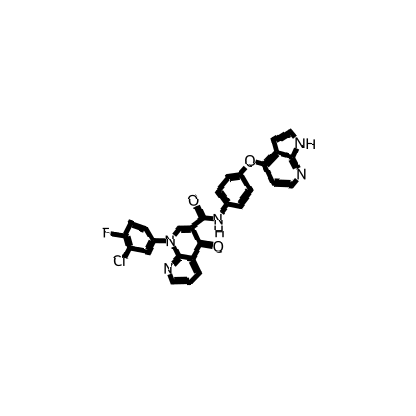 O=C(Nc1ccc(Oc2ccnc3[nH]ccc23)cc1)c1cn(-c2ccc(F)c(Cl)c2)c2ncccc2c1=O